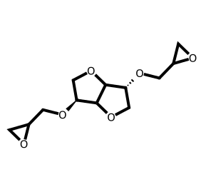 C1OC1CO[C@H]1COC2C1OC[C@H]2OCC1CO1